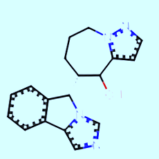 OC1c2ccnn2CCCC1[C@H]1c2ccccc2-c2cncn21